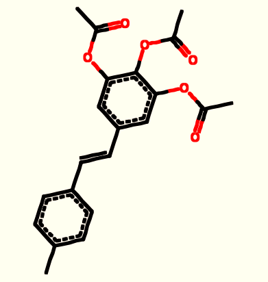 CC(=O)Oc1cc(/C=C/c2ccc(C)cc2)cc(OC(C)=O)c1OC(C)=O